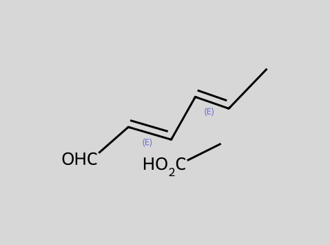 C/C=C/C=C/C=O.CC(=O)O